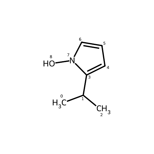 CC(C)c1cccn1O